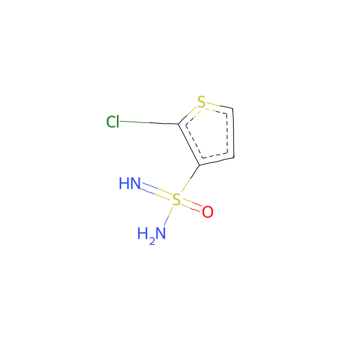 N=S(N)(=O)c1ccsc1Cl